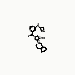 O=C(c1cc(NC2COC2)ncn1)N1C[C@@H](O)[C@@H](N2CCc3ccccc3C2)C1